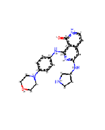 O=c1[nH]ccc2cc(NC3CCNC3)nc(Nc3ccc(N4CCOCC4)cc3)c12